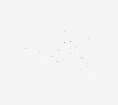 OCCC/C(=C(\c1ccc(O)cc1)c1ccc(OCCN2CCCC2)cc1)c1ccccc1